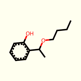 CCCCOC(C)c1ccccc1O